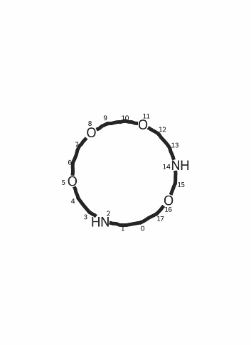 C1CNCCOCCOCCOCCNCOC1